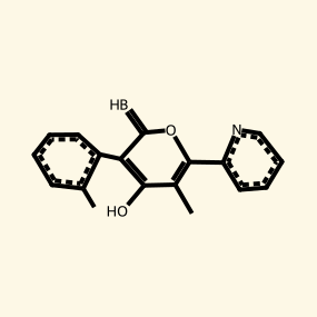 B=C1OC(c2ccccn2)=C(C)C(O)=C1c1ccccc1C